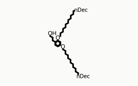 CCCCCCCCCCCCCCCCCCCCCCOc1ccc(CCCO)c(OCCCCCCCCCCCCCCCCCCCCCC)c1